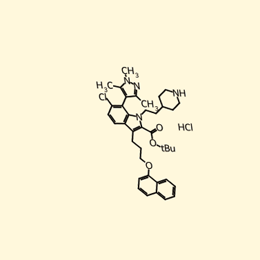 Cc1nn(C)c(C)c1-c1c(Cl)ccc2c(CCCOc3cccc4ccccc34)c(C(=O)OC(C)(C)C)n(CCC3CCNCC3)c12.Cl